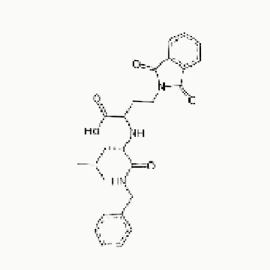 CC(C)C[C@H](NC(CCN1C(=O)c2ccccc2C1=O)C(=O)O)C(=O)NCc1ccccc1